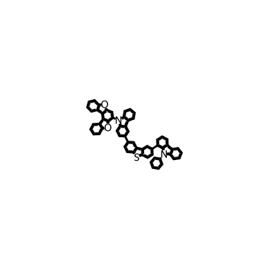 c1ccc(-n2c3ccccc3c3cccc(-c4ccc5sc6ccc(-c7ccc8c(c7)c7ccccc7n8-c7cc8oc9ccccc9c8c8c7oc7ccccc78)cc6c5c4)c32)cc1